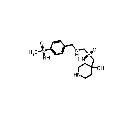 CS(=N)(=O)c1ccc(CNCS(=N)(=O)CC2(O)CCNCC2)cc1